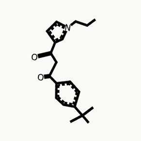 CCCn1ccc(C(=O)CC(=O)c2ccc(C(C)(C)C)cc2)c1